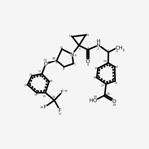 CC(NC(=O)C1(N2CC[C@@H](Oc3cccc(C(F)(F)F)c3)C2)CC1)c1ccc(C(=O)O)cc1